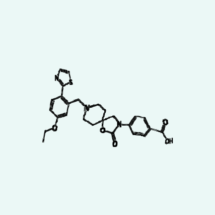 CCOc1ccc(-c2nccs2)c(CN2CCC3(CC2)CN(c2ccc(C(=O)O)cc2)C(=O)O3)c1